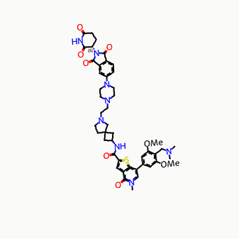 COc1cc(-c2cn(C)c(=O)c3cc(C(=O)NC4CC5(CCN(CCN6CCN(c7ccc8c(c7)C(=O)N([C@H]7CCC(=O)NC7=O)C8=O)CC6)C5)C4)sc23)cc(OC)c1CN(C)C